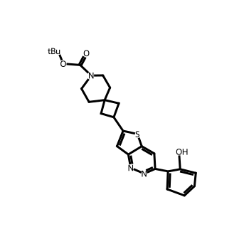 CC(C)(C)OC(=O)N1CCC2(CC1)CC(c1cc3nnc(-c4ccccc4O)cc3s1)C2